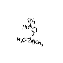 CCC[C@H](O)c1cccc(CCC(O)(CCC)CCC)c1